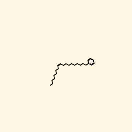 CCCCCCCC/C=C\CCCCCCCCCc1ccccc1